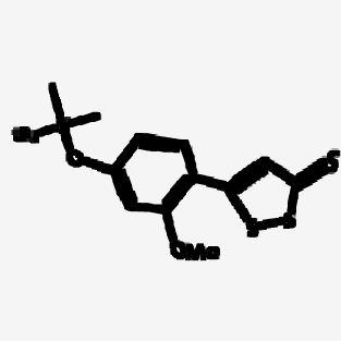 COc1cc(O[Si](C)(C)C(C)(C)C)ccc1-c1cc(=S)ss1